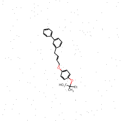 CCC(C)(Oc1ccc(OCC=CCc2cccc(-c3ccccc3)c2)cc1)C(=O)O